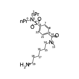 CCCN(CCC)S(=O)(=O)c1ccc(C(=O)N(C)CCCCCCN)cc1